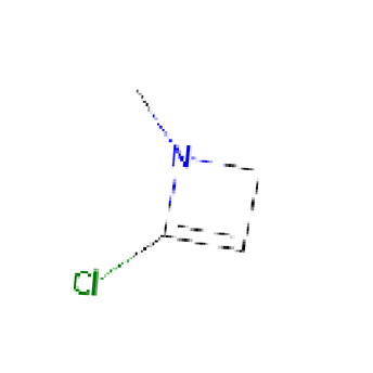 CN1CC=C1Cl